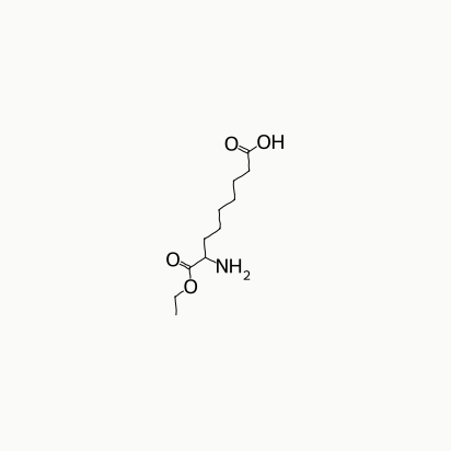 CCOC(=O)C(N)CCCCCCC(=O)O